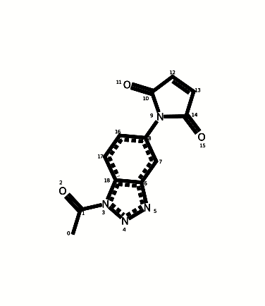 CC(=O)n1nnc2cc(N3C(=O)C=CC3=O)ccc21